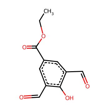 CCOC(=O)c1cc(C=O)c(O)c(C=O)c1